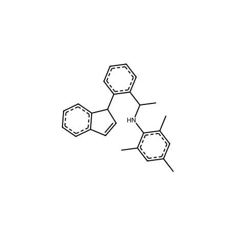 Cc1cc(C)c(NC(C)c2ccccc2C2C=Cc3ccccc32)c(C)c1